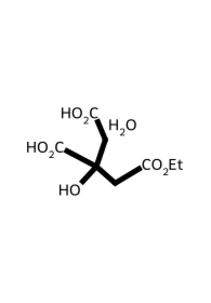 CCOC(=O)CC(O)(CC(=O)O)C(=O)O.O